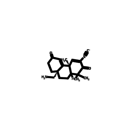 [C-]#[N+]C1=C[C@]2(C)C3=CC(=O)CC[C@]3(CN)CC[C@H]2C(C)(C)C1=O